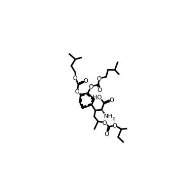 CCC(C)OC(=O)OC(C)CC(c1ccc(OC(=O)OCCC(C)C)c(OC(=O)OCCC(C)C)c1)[C@H](N)C(=O)O